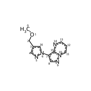 COCc1cnn(-c2cnn3cccnc23)c1